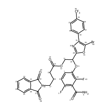 NC(=O)c1c(F)ccc(OC(COC(=O)CCCN2C(=O)c3ccccc3C2=O)c2nc(-c3ccc(C(F)(F)F)cc3)c(Br)o2)c1F